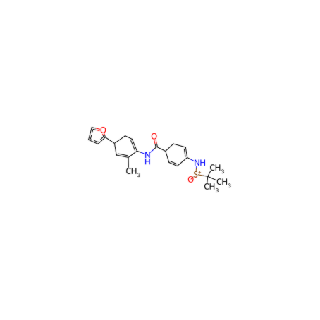 CC1=CC(c2ccco2)CC=C1NC(=O)C1C=CC(N[S+]([O-])C(C)(C)C)=CC1